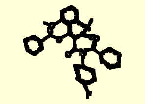 COc1cccc2c1c(OC(=O)c1ccccc1)c(C(=O)N(C(=O)c1ccccc1)c1ccc(F)cc1)c(=O)n2C